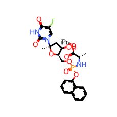 CC(C)OC(=O)[C@H](C)NP(=O)(OC[C@H]1O[C@@](C)(n2cc(F)c(=O)[nH]c2=O)CC1O)Oc1cccc2ccccc12